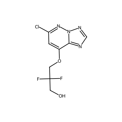 OCC(F)(F)COc1cc(Cl)nn2ncnc12